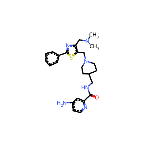 CN(C)Cc1nc(-c2ccccc2)sc1CN1CCC(CNC(=O)c2cc(N)ccn2)CC1